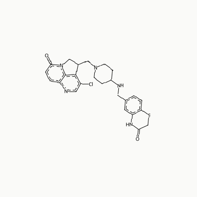 O=C1CSc2ccc(CNC3CCN(CC4Cn5c(=O)ccc6ncc(Cl)c4c65)CC3)cc2N1